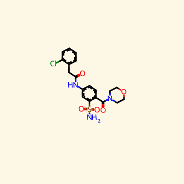 NS(=O)(=O)c1cc(NC(=O)Cc2ccccc2Cl)ccc1C(=O)N1CCOCC1